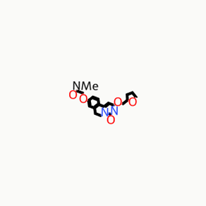 CNC(=O)COc1ccc2c(c1)CCn1c-2cc(OCC2CCCO2)nc1=O